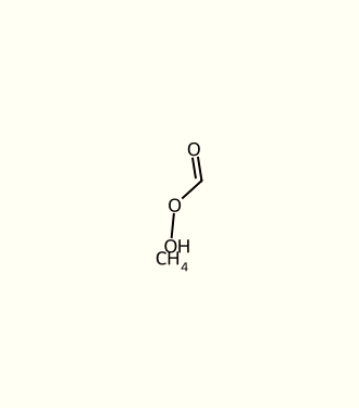 C.O=COO